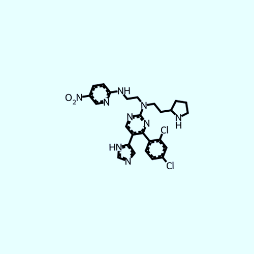 O=[N+]([O-])c1ccc(NCCN(CCC2CCCN2)c2ncc(-c3cnc[nH]3)c(-c3ccc(Cl)cc3Cl)n2)nc1